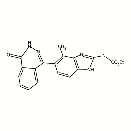 CCOC(=O)Nc1nc2c(C)c(-c3n[nH]c(=O)c4ccccc34)ccc2[nH]1